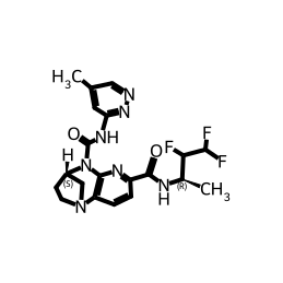 Cc1cnnc(NC(=O)N2c3nc(C(=O)N[C@H](C)C(F)C(F)F)ccc3N3CC[C@H]2C3)c1